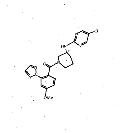 COc1ccc(C(=O)N2CCC[C@@H](Nc3ncc(Cl)cn3)C2)c(-n2nccn2)c1